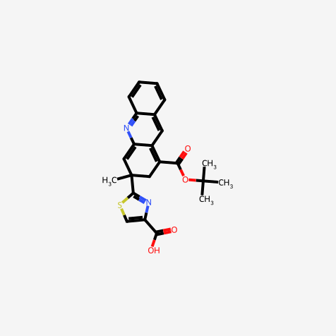 CC(C)(C)OC(=O)C1=c2cc3ccccc3nc2=CC(C)(c2nc(C(=O)O)cs2)C1